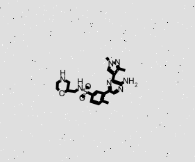 Cc1ccc(S(=O)(=O)NCC2CNCCO2)cc1-c1cnc(N)c(-c2cn(C)nc2C)n1